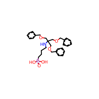 O=P(O)(O)CCCCNC(COCc1ccccc1)(COCc1ccccc1)COCc1ccccc1